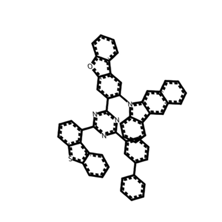 c1ccc(-c2cccc(-c3nc(-c4cc5oc6ccccc6c5cc4-n4c5ccccc5c5cc6ccccc6cc54)nc(-c4cccc5sc6ccccc6c45)n3)c2)cc1